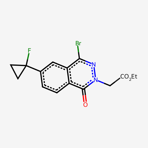 CCOC(=O)Cn1nc(Br)c2cc(C3(F)CC3)ccc2c1=O